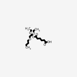 CCCCOCC(OCC)(OCC)OC(=O)CCCCC(=O)O